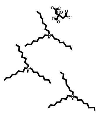 CCCCCCCC[N+](C)(CCCCCCCC)CCCCCCCC.CCCCCCCC[N+](C)(CCCCCCCC)CCCCCCCC.CCCCCCCC[N+](C)(CCCCCCCC)CCCCCCCC.O=C([O-])CC(O)(CC(=O)[O-])C(=O)[O-]